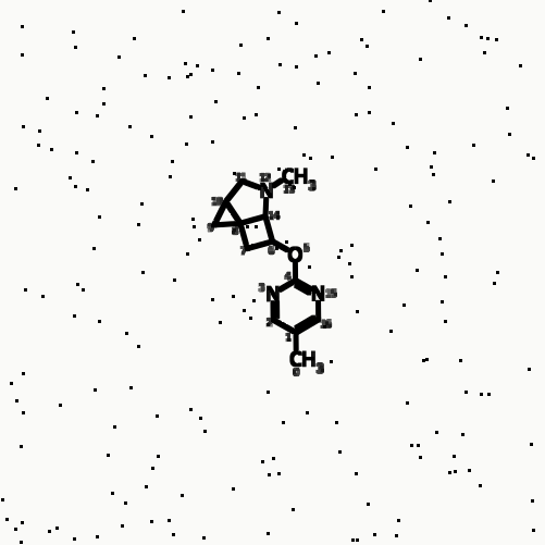 Cc1cnc(OC2CC34CC3CN(C)C24)nc1